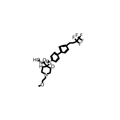 COCCN1CCC(C(=O)NO)(S(=O)(=O)c2ccc(-c3ccc(CCC(F)(F)C(F)(F)F)cc3)cc2)CC1